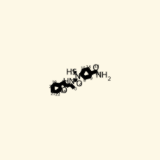 CC(NC(=O)N(S)c1ccc(C(N)=O)cc1)c1cc2ccccc2o1